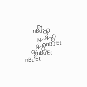 CCCCC(CC)COC(=O)CCN(CCCN(C)CCCN(CCC(=O)OCC(CC)CCCC)CCC(=O)OCC(CC)CCCC)CCC(=O)OCC(CC)CCCC